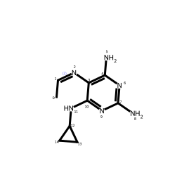 C/C=N\c1c(N)nc(N)nc1NC1CC1